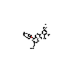 COCOc1cc(Cl)c(C2CC2)c(-c2ncc3c(N4CC5CCC(C4)N5C)nc(SC)nc3c2F)c1